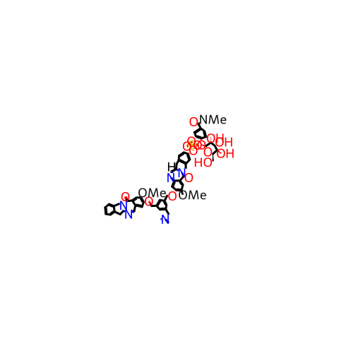 CNC(=O)c1ccc(O[C@@H]2O[C@H](CO)[C@H](O)[C@H](O)[C@H]2O)c(OS(=O)(=O)Oc2ccc3c(c2)CN2C(=O)c4cc(OC)c(OCc5cc(COc6cc7c(cc6OC)C(=O)N6Cc8ccccc8CC6N=C7)cc(CN(C)C)c5)cc4N=C[C@@H]2C3)c1